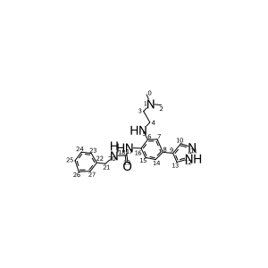 CN(C)CCNc1cc(-c2cn[nH]c2)ccc1NC(=O)NCc1ccccc1